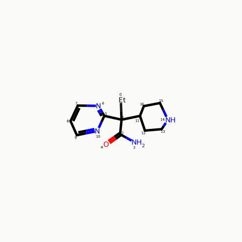 CCC(C(N)=O)(c1ncccn1)C1CCNCC1